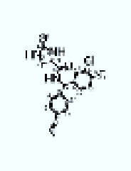 N#Cc1ccc([C@H](NC(=O)C2CNC(=O)N2)c2ccc(F)c(Cl)c2)cc1